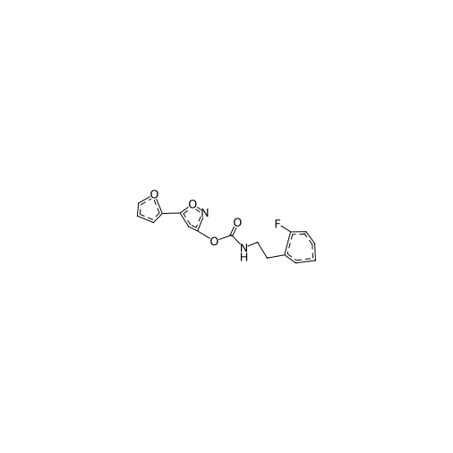 O=C(NCCc1ccccc1F)Oc1cc(-c2ccco2)on1